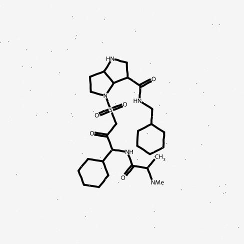 CNC(C)C(=O)NC(C(=O)CS(=O)(=O)N1CCC2NCC(C(=O)NCC3CCCCC3)C21)C1CCCCC1